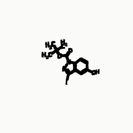 CC(C)(C)OC(=O)n1nc(I)c2cc(O)ccc21